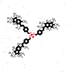 C/C(=C\c1ccc(COP(=O)(OCc2ccc(/C=C(\C)c3cc4c(cc3C)C(C)(C)C(C)C4(C)C)cc2)OCc2ccc(/C=C(\C)c3cc4c(cc3C)C(C)(C)C(C)C4(C)C)cc2)cc1)c1cc2c(cc1C)C(C)(C)C(C)C2(C)C